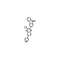 Clc1nc2cc(-c3ccncc3)ccc2nc1-c1ccc2[nH]c3ccccc3c2c1